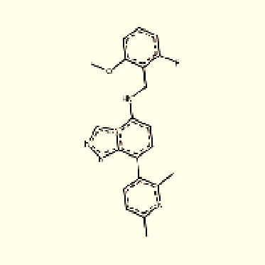 COc1cccc(F)c1CNc1ccc(-c2ccc(C)nc2C)c2nncn12